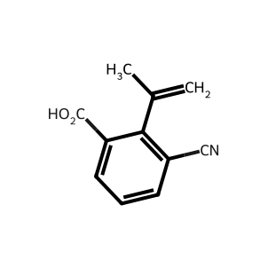 C=C(C)c1c(C#N)cccc1C(=O)O